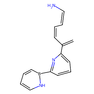 C=C(/C=C\C=C/N)c1cccc(B2C=CC=CN2)n1